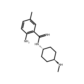 CN[C@H]1CC[C@H](NC(=N)c2cc(C)ccc2N)CC1